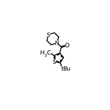 Cc1sc(C(C)(C)C)cc1C(=O)N1CCSCC1